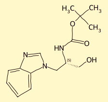 CC(C)(C)OC(=O)N[C@H](CO)Cn1cnc2ccccc21